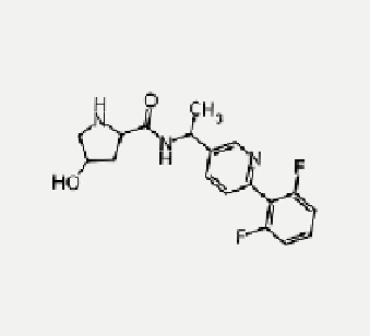 C[C@H](NC(=O)C1CC(O)CN1)c1ccc(-c2c(F)cccc2F)nc1